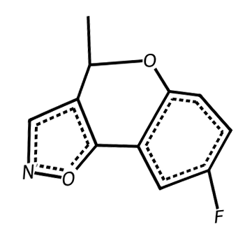 CC1Oc2ccc(F)cc2-c2oncc21